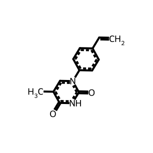 C=Cc1ccc(-n2cc(C)c(=O)[nH]c2=O)cc1